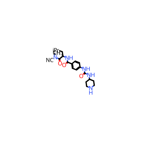 CC(C)CC(NC(=O)c1ccc(NC(=O)NC2CCNCC2)cc1)C(=O)N(C)C#N